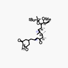 C=C[C@H](OC)[C@@H](O[Si](C)(C)C(C)(C)C)[C@H](C)/C=C(/C)[C@H](C)[C@H](C)C(=O)/C=C/CC1CC(=O)NC(=O)C1